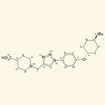 CC(C)(C)[C@H]1CC[C@H](Oc2ccc(-n3cc(CN4CCC(C(=O)O)CC4)nn3)cc2)CC1